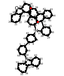 c1cc(-c2ccc(N(c3ccc(-c4cccc5oc6ccccc6c45)cc3)c3ccccc3-c3cc4ccccc4c4ccccc34)cc2)cc(-n2c3ccccc3c3ccccc32)c1